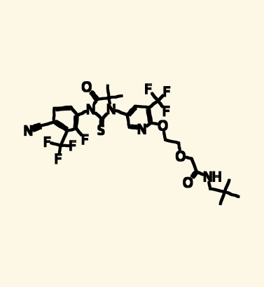 CC(C)(C)CNC(=O)COCCOc1ncc(N2C(=S)N(c3ccc(C#N)c(C(F)(F)F)c3F)C(=O)C2(C)C)cc1C(F)(F)F